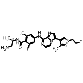 Cc1cc(Nc2nccn3c(-c4cn(CCF)nc4C(F)(F)F)cnc23)cc(F)c1C(=O)N[C@H](C)CN